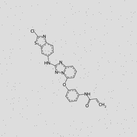 C=CC(=O)Nc1cccc(Oc2cccc3nc(Nc4ccc5nc(Cl)sc5c4)nn23)c1